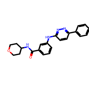 O=C(NC1CCOCC1)c1cccc(Nc2ccc(-c3ccccc3)nn2)c1